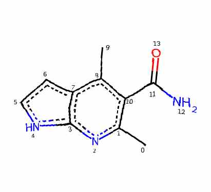 Cc1nc2[nH]ccc2c(C)c1C(N)=O